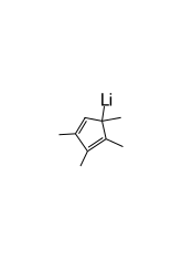 [Li][C]1(C)C=C(C)C(C)=C1C